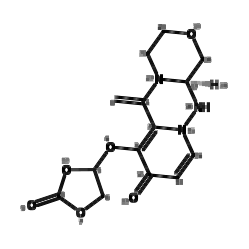 C=C1c2c(OC3COC(=O)O3)c(=O)ccn2N[C@@H]2COCCN12